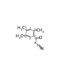 Cc1cc(C)c(C(=O)CC#N)cc1C